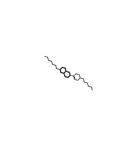 CCCCCCCc1ccc2cc(C3=CCC(CCCCCC)CC3)ccc2c1